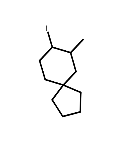 CC1CC2(CCCC2)CCC1I